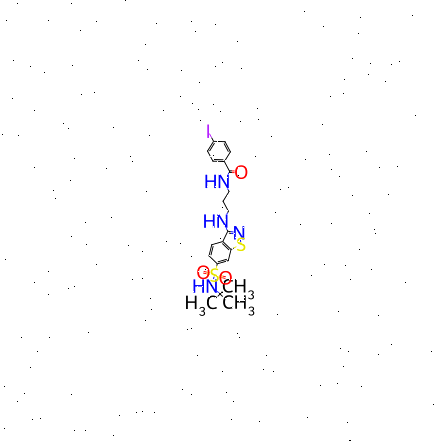 CC(C)(C)NS(=O)(=O)c1ccc2c(NCCCNC(=O)c3ccc(I)cc3)nsc2c1